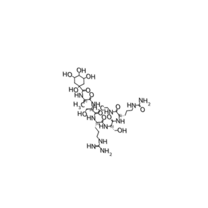 CCNC(=O)[C@H](CCCNC(N)=O)NC(=O)[C@H](CO)NC(=O)[C@H](CCCNC(=N)N)NC(=O)[C@@H](CO)NC(=O)[C@@H](C)NC(=O)C1(O)CC(O)C(O)C(O)C1